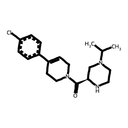 CC(C)N1CCN[C@@H](C(=O)N2CC=C(c3ccc(Cl)cc3)CC2)C1